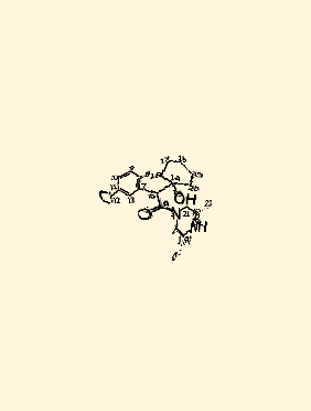 C[C@@H]1CN(C(=O)C(c2cccc(Cl)c2)C2(O)CCCCC2)C[C@H](C)N1